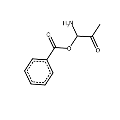 CC(=O)C(N)OC(=O)c1ccccc1